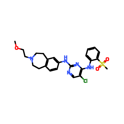 COCCN1CCc2ccc(Nc3ncc(Cl)c(Nc4ccccc4S(C)(=O)=O)n3)cc2CC1